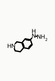 NNc1ccc2c(c1)CNCC2